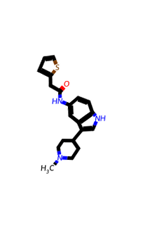 CN1CCC(c2c[nH]c3ccc(NC(=O)Cc4cccs4)cc23)CC1